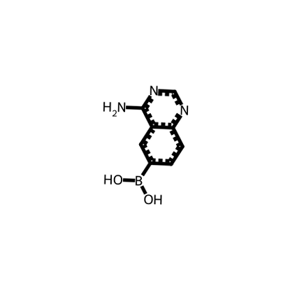 Nc1ncnc2ccc(B(O)O)cc12